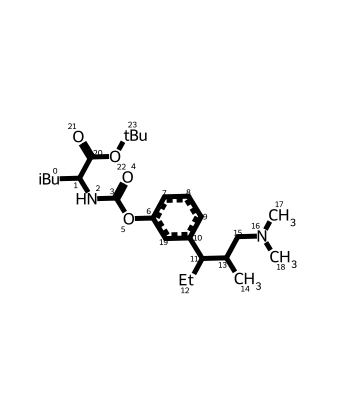 CCC(C)C(NC(=O)Oc1cccc(C(CC)C(C)CN(C)C)c1)C(=O)OC(C)(C)C